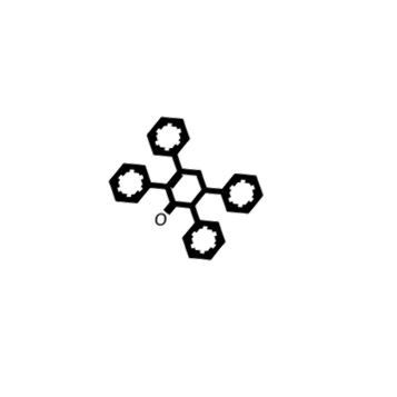 O=C1C(c2ccccc2)=C(c2ccccc2)CC(c2ccccc2)C1c1ccccc1